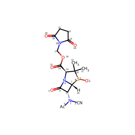 CC(=O)N(C#N)[C@@H]1C(=O)N2[C@@H]1[S+]([O-])C(C)(C)[C@@H]2C(=O)OCN1C(=O)CCC1=O